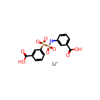 O=C(O)c1cccc([N-]S(=O)(=O)S(=O)(=O)c2cccc(C(=O)O)c2)c1.[Li+]